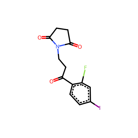 O=C(CCN1C(=O)CCC1=O)c1ccc(I)cc1F